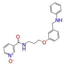 O=C(NCCCOc1cccc(CNc2ccccc2)c1)c1ccc[n+]([O-])c1